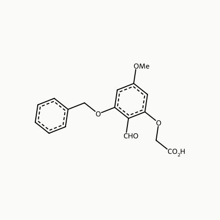 COc1cc(OCC(=O)O)c(C=O)c(OCc2ccccc2)c1